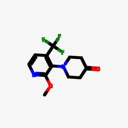 COc1nccc(C(F)(F)F)c1N1CCC(=O)CC1